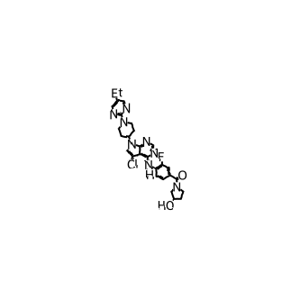 CCc1cnc(N2CCC(n3cc(Cl)c4c(Nc5ccc(C(=O)N6CC[C@@H](O)C6)cc5F)ncnc43)CC2)nc1